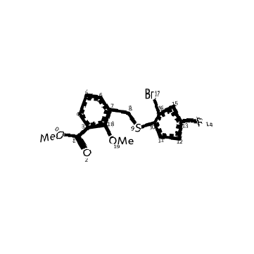 COC(=O)c1cccc(CSc2ccc(F)cc2Br)c1OC